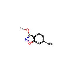 CCOc1noc2cc(C(C)(C)C)ccc12